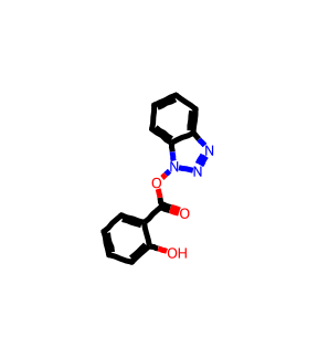 O=C(On1nnc2ccccc21)c1ccccc1O